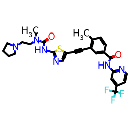 Cc1ccc(C(=O)Nc2cc(C(F)(F)F)ccn2)cc1C#Cc1cnc(NC(=O)N(C)CCN2CCCC2)s1